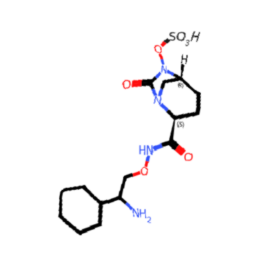 NC(CONC(=O)[C@@H]1CC[C@@H]2CN1C(=O)N2OS(=O)(=O)O)C1CCCCC1